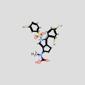 CN(C(=O)O)C1CCc2c1cn(S(=O)(=O)c1cccc(F)c1)c2-c1ccc(F)cc1F